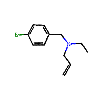 C=CCN(CC)Cc1ccc(Br)cc1